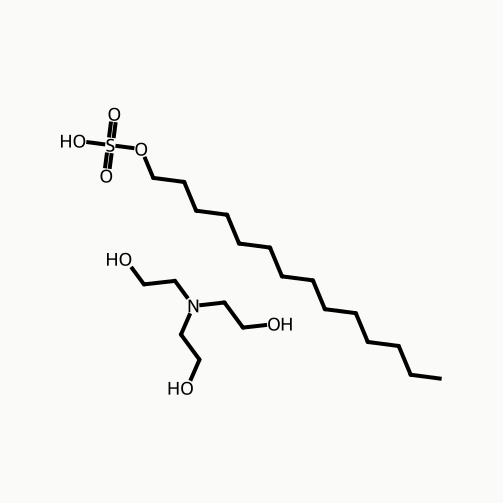 CCCCCCCCCCCCCCOS(=O)(=O)O.OCCN(CCO)CCO